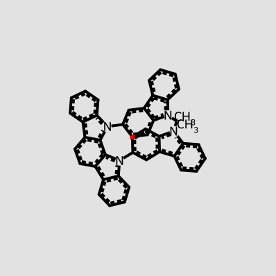 Cn1c2ccccc2c2cc(-n3c4ccccc4c4ccc5c6ccccc6n(-c6ccc7c(c6)c6ccccc6n7C)c5c43)ccc21